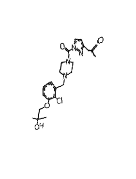 CC(=O)c1ccn(C(=O)N2CCN(Cc3cccc(OCC(C)(C)O)c3Cl)CC2)n1